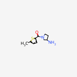 Cc1ccc(C(=O)N2CCC(N)C2)s1